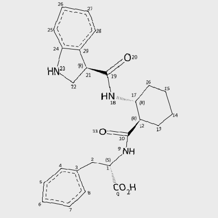 O=C(O)[C@H](Cc1ccccc1)NC(=O)[C@@H]1CCCC[C@H]1NC(=O)[C@H]1CNc2ccccc21